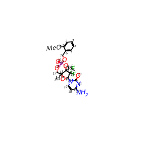 COc1ccccc1COP1(=O)OC[C@H]2O[C@@H](n3ccc(N)nc3=O)C(F)(F)[C@@H]2O1